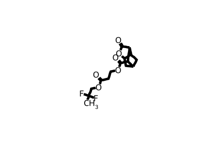 CC(F)(F)COC(=O)CCOC(=O)C1C2CC3OC(=O)C1C3C2